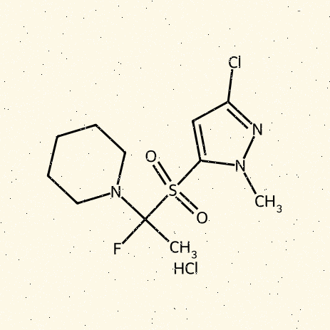 Cl.Cn1nc(Cl)cc1S(=O)(=O)C(C)(F)N1CCCCC1